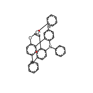 Brc1ccc2c(c1)C1(c3cc(-c4ccccc4)ccc3Oc3ccc(-c4ccccc4)cc31)c1cc(Br)ccc1N2c1ccccc1